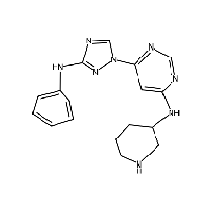 c1ccc(Nc2ncn(-c3cc(NC4CCCNC4)ncn3)n2)cc1